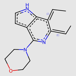 C/C=c1\c(=C/C)nc(N2CCOCC2)c2cc[nH]c12